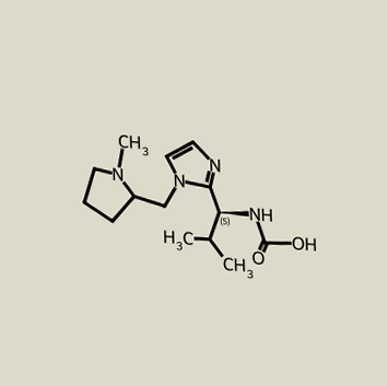 CC(C)[C@H](NC(=O)O)c1nccn1CC1CCCN1C